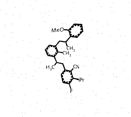 COc1ccccc1C(C)Cc1cccc(C(C)Cc2ccc(F)c(C(C)C)c2C#N)c1C